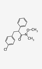 CON(C)C(=O)C(Cc1ccc(Cl)cc1)c1ccccc1